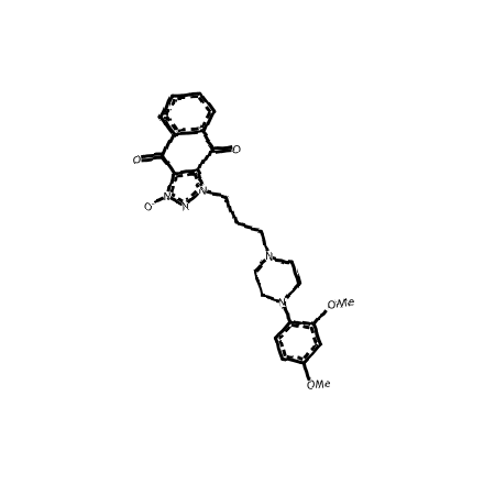 COc1ccc(N2CCN(CCCn3n[n+]([O-])c4c3C(=O)c3ccccc3C4=O)CC2)c(OC)c1